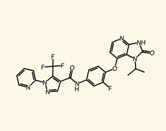 CC(C)n1c(=O)[nH]c2nccc(Oc3ccc(NC(=O)c4cnn(-c5ccccn5)c4C(F)(F)F)cc3F)c21